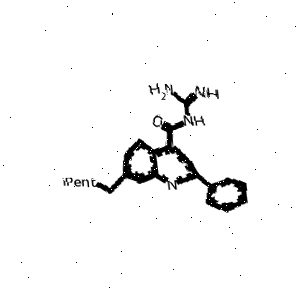 CCCC(C)Cc1ccc2c(C(=O)NC(=N)N)cc(-c3ccccc3)nc2c1